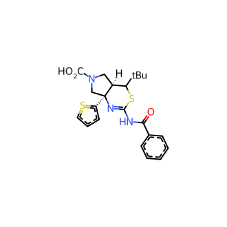 CC(C)(C)C1SC(NC(=O)c2ccccc2)=N[C@@]2(c3cccs3)CN(C(=O)O)C[C@@H]12